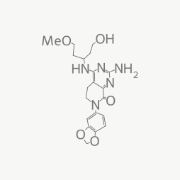 COCCC(CCO)Nc1nc(N)nc2c1CCN(c1ccc3c(c1)OCO3)C2=O